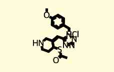 COc1ccc(Cn2nnnc2C=C2CNCCC2SC(C)=O)cc1.Cl